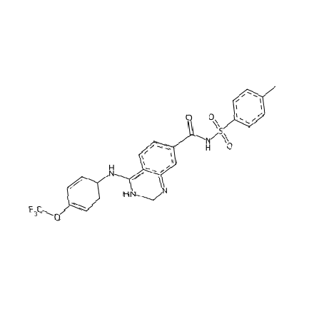 Cc1ccc(S(=O)(=O)NC(=O)c2ccc3c(c2)=NCNC=3NC2C=CC(OC(F)(F)F)=CC2)cc1